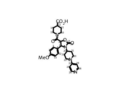 COc1ccc(C2C(C(=O)N3CCC(C(=O)O)CC3)OC(=O)N2C2CCN(c3ccncc3)CC2)cc1